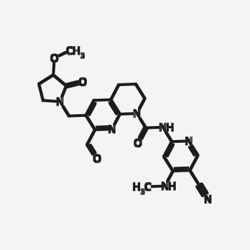 CNc1cc(NC(=O)N2CCCc3cc(CN4CCC(OC)C4=O)c(C=O)nc32)ncc1C#N